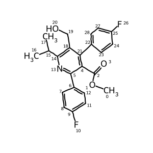 COC(=O)c1c(-c2ccc(F)cc2)nc(C(C)C)c(CO)c1-c1ccc(F)cc1